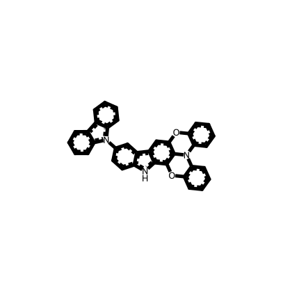 c1ccc2c(c1)Oc1cc3c([nH]c4ccc(-n5c6ccccc6c6ccccc65)cc43)c3c1N2c1ccccc1O3